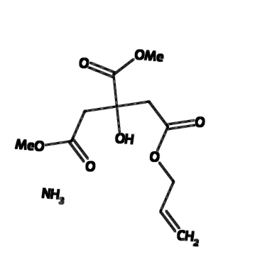 C=CCOC(=O)CC(O)(CC(=O)OC)C(=O)OC.N